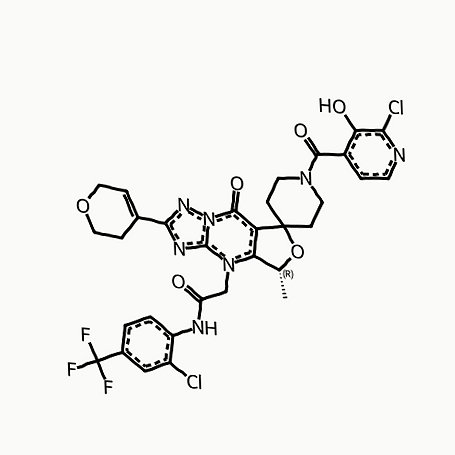 C[C@H]1OC2(CCN(C(=O)c3ccnc(Cl)c3O)CC2)c2c1n(CC(=O)Nc1ccc(C(F)(F)F)cc1Cl)c1nc(C3=CCOCC3)nn1c2=O